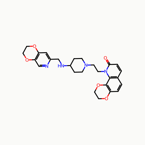 O=c1ccc2ccc3c(c2n1CCN1CCC(NCc2cc4c(cn2)OCCO4)CC1)OCCO3